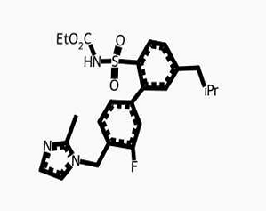 CCOC(=O)NS(=O)(=O)c1ccc(CC(C)C)cc1-c1ccc(Cn2ccnc2C)c(F)c1